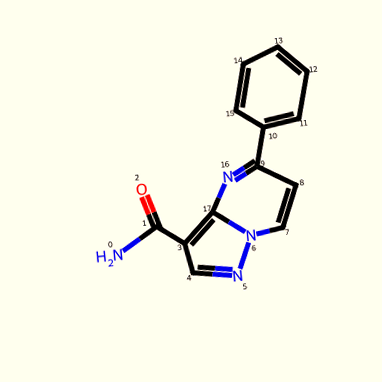 NC(=O)c1cnn2ccc(-c3ccccc3)nc12